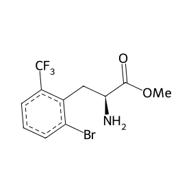 COC(=O)[C@@H](N)Cc1c(Br)cccc1C(F)(F)F